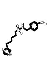 Cc1ccc(CNS(=O)(=O)CCCCCc2c[nH]cn2)cc1